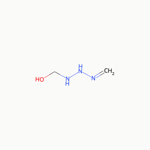 C=NNNCO